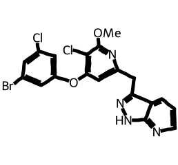 COc1nc(Cc2n[nH]c3ncccc23)cc(Oc2cc(Cl)cc(Br)c2)c1Cl